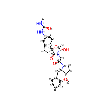 CNC(=O)Nc1ccc2c(c1)CC[C@@]21OC(C)(O)N(CC(=O)N2CCCC2Cc2ccccc2OC)C1=O